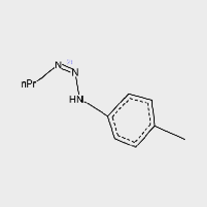 CCC/N=N\Nc1ccc(C)cc1